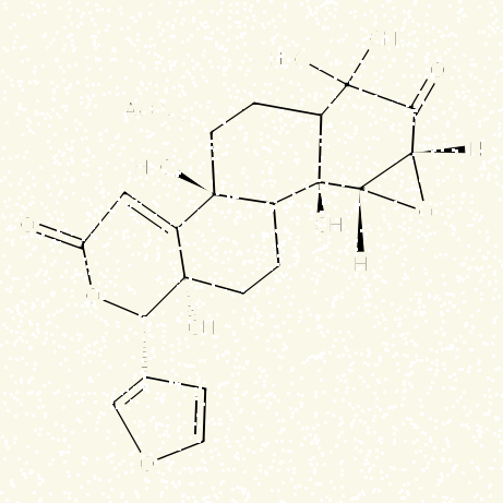 CC(=O)O[C@@H]1CC2C(C)(C)C(=O)[C@@H]3O[C@@H]3[C@]2(C)C2CC[C@]3(C)C(=CC(=O)O[C@H]3c3ccoc3)[C@@]21C